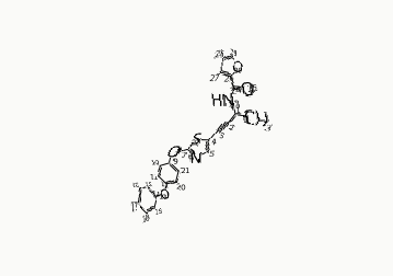 CC(C#Cc1cnc(Oc2ccc(Oc3ccccc3)cc2)s1)NC(=O)c1ccco1